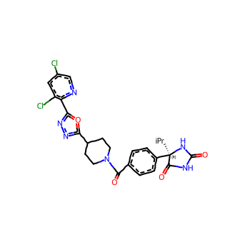 CC(C)[C@]1(c2ccc(C(=O)N3CCC(c4nnc(-c5ncc(Cl)cc5Cl)o4)CC3)cc2)NC(=O)NC1=O